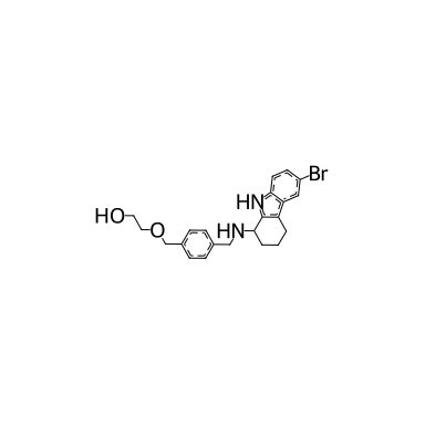 OCCOCc1ccc(CNC2CCCc3c2[nH]c2ccc(Br)cc32)cc1